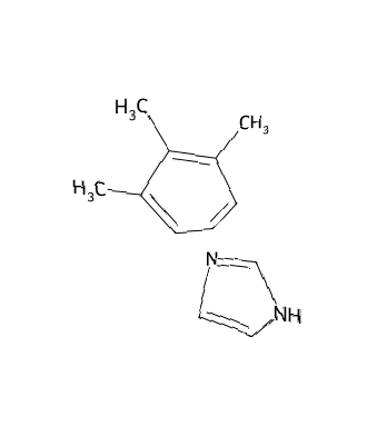 Cc1cccc(C)c1C.c1c[nH]cn1